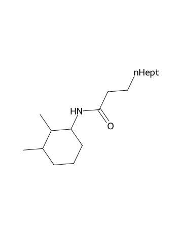 CCCCCCCCCC(=O)NC1CCCC(C)C1C